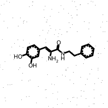 NC(=Cc1ccc(O)c(O)c1)C(=O)NCCc1ccccc1